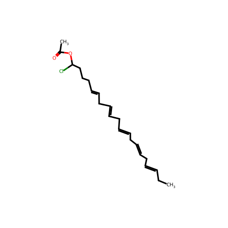 CCC=CCC=CCC=CCC=CCC=CCCCC(Cl)OC(C)=O